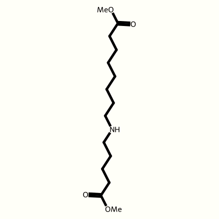 COC(=O)CCCCCCCNCCCCC(=O)OC